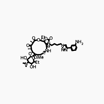 CCC1O[C@@H](O[C@@H]2[C@@H](C)C(=O)[C@@H](C)C(=O)O[C@H](CC)[C@@]3(C)OC(=O)N(CCCCn4cc(-c5cccc(N)c5)nn4)[C@@H]3[C@@H](C)NC[C@H](C)C[C@@]2(C)OC)C(O)C(N(C)C)[C@@H]1O